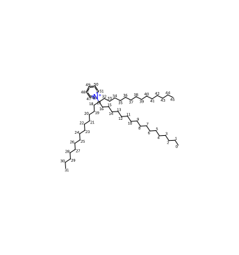 CCCCCCCCCCCCCCCCCC(CCCCCCCCCCCCCC)(CCCCCCCCCCCCCC)[n+]1ccccc1